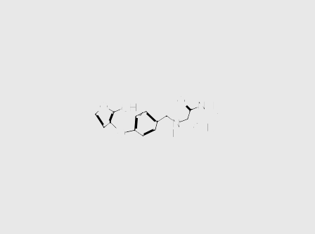 Cc1occc1Oc1ccc(CN[C@@H](C)C(N)=O)cc1